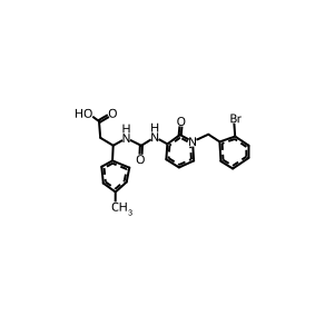 Cc1ccc(C(CC(=O)O)NC(=O)Nc2cccn(Cc3ccccc3Br)c2=O)cc1